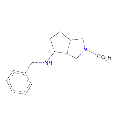 O=C(O)N1CC2CCC(NCc3ccccc3)C2C1